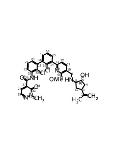 C=C(C)C1C[C@@H](O)[C@H](NCc2ccc(-c3cccc(-c4cccc(NC(=O)c5ccnn(C)c5=O)c4Cl)c3Cl)nc2OC)C1